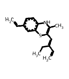 C=C/C(=C/C1=C(C)Nc2ccc(C=C)cc2S1)CC